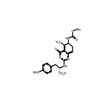 COc1ccc(C[C@H](Nc2nc3c(c(=O)o2)=C(C)C(NC(=O)OC(C)(C)C)CC=3)C(=O)O)cc1